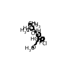 CNCC(CC(C)(C)OC)NC(=O)N1CCCC([C@@](O)(CCCCOC)c2cccc(Cl)c2F)C1